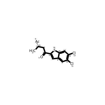 CC(=O)[C@@H](C)CC(=O)c1cc2cc(Cl)c(Cl)cc2s1